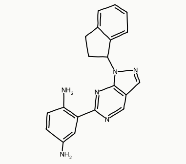 Nc1ccc(N)c(-c2ncc3cnn(C4CCc5ccccc54)c3n2)c1